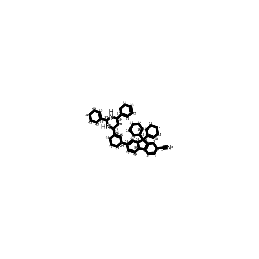 N#CC1C=CC2=C(C1)C(C1=CCCCC1)(C1CCCCC1)C1C=C(C3C=C(C4CC(C5=CC=CCC5)NC(C5=CCCCC5)N4)CCC3)C=CC21